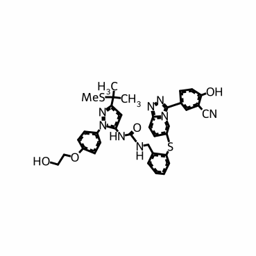 CSC(C)(C)c1cc(NC(=O)NCc2ccccc2Sc2ccc3nnc(-c4ccc(O)c(C#N)c4)n3c2)n(-c2ccc(OCCO)cc2)n1